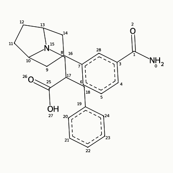 NC(=O)c1cccc(C2CC3CCC(C2)N3CC(Cc2ccccc2)C(=O)O)c1